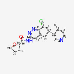 Cc1ccncc1-c1cc(Cl)c2nnc(NC(=O)C3CCCO3)cc2c1